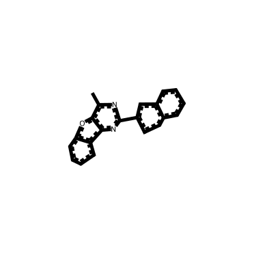 Cc1nc(-c2ccc3ccccc3c2)nc2c1oc1ccccc12